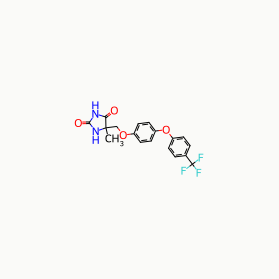 CC1(COc2ccc(Oc3ccc(C(F)(F)F)cc3)cc2)NC(=O)NC1=O